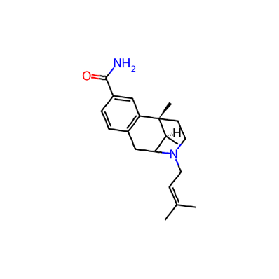 CC(C)=CCN1CC[C@@]2(C)c3cc(C(N)=O)ccc3CC1[C@@H]2C